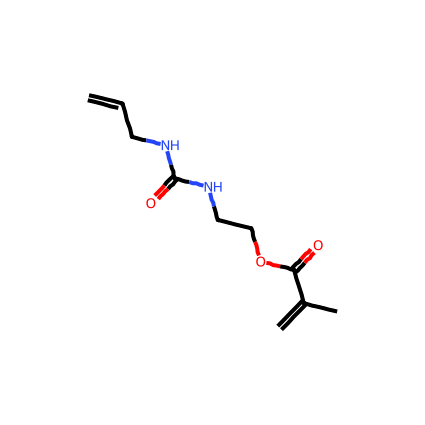 C=CCNC(=O)NCCOC(=O)C(=C)C